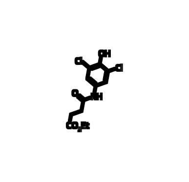 CCOC(=O)CCC(=O)Nc1cc(Cl)c(O)c(Cl)c1